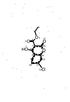 CCOC(=O)c1c(O)c2ccc(Cl)cc2oc1=O